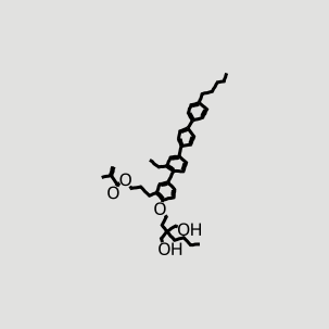 C=C(C)C(=O)OCCCc1cc(-c2ccc(-c3ccc(-c4ccc(CCCCC)cc4)cc3)cc2CC)ccc1OCCC(CO)(CO)CCCC